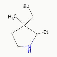 CCC(C)CC1(C)CCNC1CC